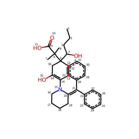 CCCC(O)C1(C(C)(C)C(=O)O)C=CC(N2CCCCC2=C(c2ccccc2)c2ccccc2)=C(O)C1